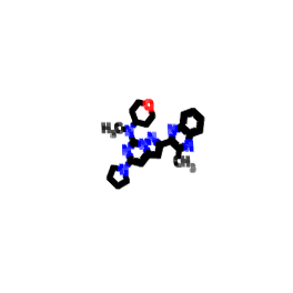 Cc1nc2ccccc2nc1-c1cc2cc(N3CCCC3)nc(N(C)C3CCOCC3)n2n1